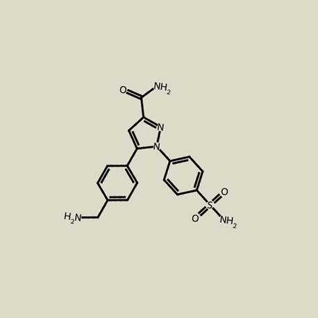 NCc1ccc(-c2cc(C(N)=O)nn2-c2ccc(S(N)(=O)=O)cc2)cc1